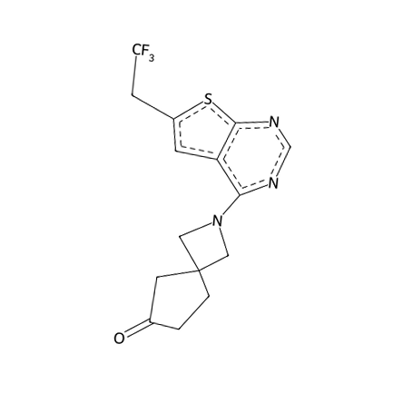 O=C1CCC2(C1)CN(c1ncnc3sc(CC(F)(F)F)cc13)C2